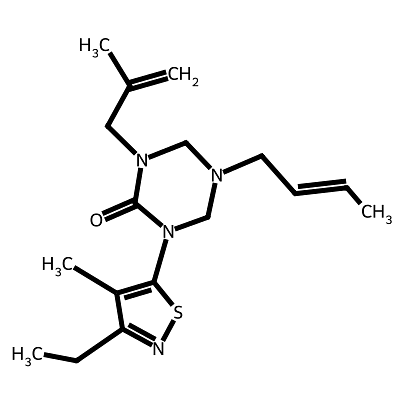 C=C(C)CN1CN(CC=CC)CN(c2snc(CC)c2C)C1=O